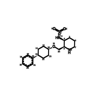 O=[SH](=O)N[C@H]1CCCN[C@H]1CO[C@H]1CC[C@@H](c2ccccc2)CC1